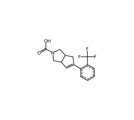 O=C(O)N1CC2C=C(c3ccccc3C(F)(F)F)CC2C1